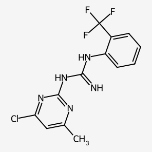 Cc1cc(Cl)nc(NC(=N)Nc2ccccc2C(F)(F)F)n1